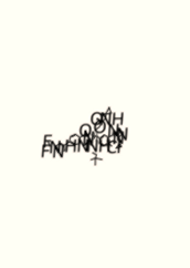 CC(C)(C)CCNC(=N)N(C(=O)c1ccc(-c2cnn(C(F)F)c2)cc1)[C@H](COC(=O)NC1(C)CC1)c1ccc(Cl)c(-c2ncnn2C2CC2)c1